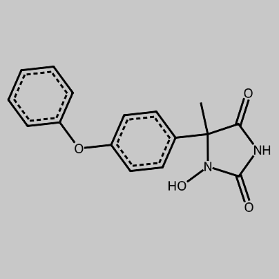 CC1(c2ccc(Oc3ccccc3)cc2)C(=O)NC(=O)N1O